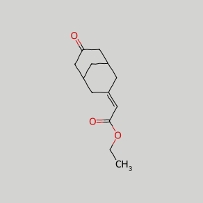 CCOC(=O)C=C1CC2CC(=O)CC(C1)C2